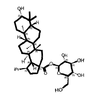 CC(C)[C@@H]1CC[C@]2(C(=O)O[C@@H]3O[C@H](CO)[C@@H](O)[C@H](O)[C@H]3O)CC[C@]3(C)[C@H](CC[C@@H]4[C@@]5(C)CC[C@H](O)C(C)(C)[C@@H]5CC[C@]43C)[C@@H]12